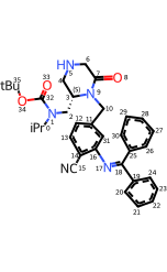 CC(C)N(C[C@@H]1CNCC(=O)N1Cc1ccc(C#N)c(N=C(c2ccccc2)c2ccccc2)c1)C(=O)OC(C)(C)C